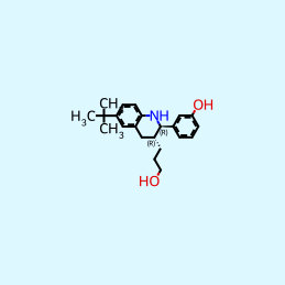 CC(C)(C)c1ccc2c(c1)C[C@@H](CCCO)[C@H](c1cccc(O)c1)N2